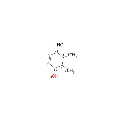 CC1C(O)C=CC(N=O)C1C